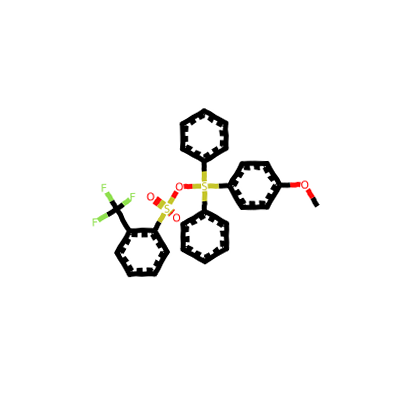 COc1ccc(S(OS(=O)(=O)c2ccccc2C(F)(F)F)(c2ccccc2)c2ccccc2)cc1